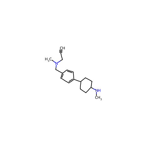 C#CCN(C)Cc1ccc(C2CCC(NC)CC2)cc1